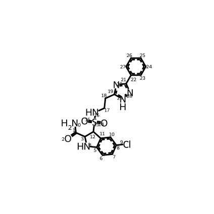 NC(=O)C1Nc2ccc(Cl)cc2C1S(=O)(=O)NCCc1nc(-c2ccccc2)n[nH]1